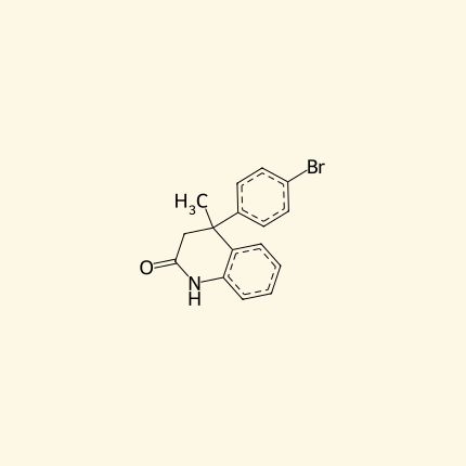 CC1(c2ccc(Br)cc2)CC(=O)Nc2ccccc21